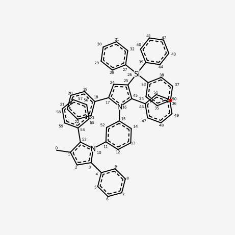 Cc1cc(-c2ccccc2)n(-c2cccc(-n3c(-c4ccccc4)cc([Si](c4ccccc4)(c4ccccc4)c4ccccc4)c3-c3ccccc3)c2)c1-c1ccccc1